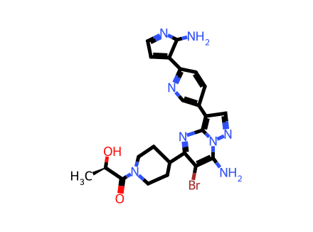 C[C@@H](O)C(=O)N1CCC(c2nc3c(-c4ccc(C5=CC=NC5N)nc4)cnn3c(N)c2Br)CC1